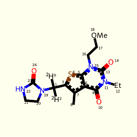 [2H]C([2H])(c1sc2c(c1C)c(=O)n(CC)c(=O)n2CCOC)N1CCNC1=O